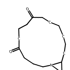 O=C1CCCCCCC2CN2CCCC(=O)CCC1